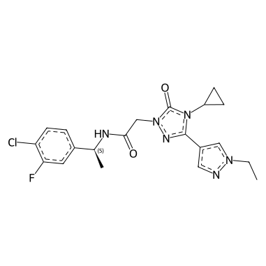 CCn1cc(-c2nn(CC(=O)N[C@@H](C)c3ccc(Cl)c(F)c3)c(=O)n2C2CC2)cn1